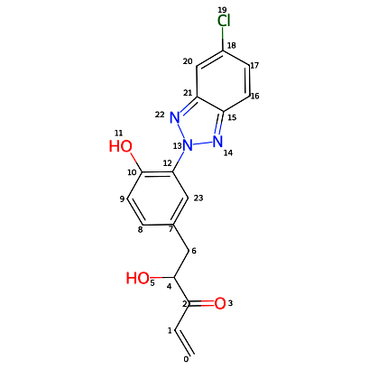 C=CC(=O)C(O)Cc1ccc(O)c(-n2nc3ccc(Cl)cc3n2)c1